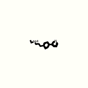 CCNCCCc1ccc(-c2cccnc2)cc1